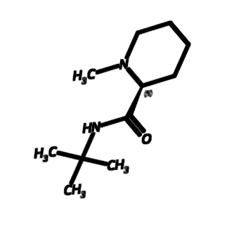 CN1CCCC[C@H]1C(=O)NC(C)(C)C